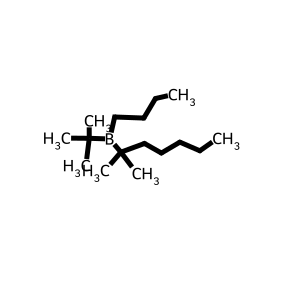 CCCCCC(C)(C)B(CCCC)C(C)(C)C